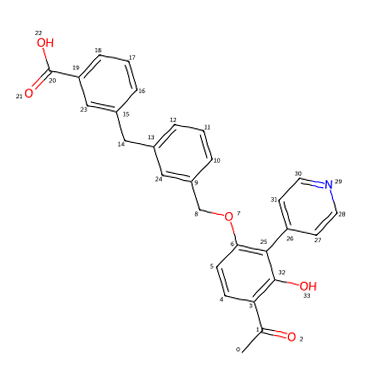 CC(=O)c1ccc(OCc2cccc(Cc3cccc(C(=O)O)c3)c2)c(-c2ccncc2)c1O